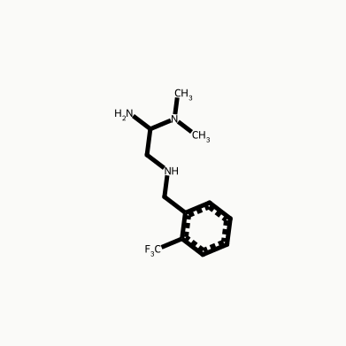 CN(C)C(N)CNCc1ccccc1C(F)(F)F